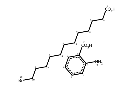 Nc1ccccc1C(=O)O.O=C(O)CCCCCCCCCCCBr